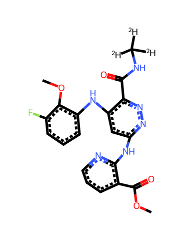 [2H]C([2H])([2H])NC(=O)c1nnc(Nc2ncccc2C(=O)OC)cc1Nc1cccc(F)c1OC